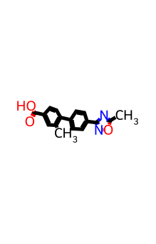 Cc1nc(-c2ccc(-c3ccc(C(=O)O)cc3C)cc2)no1